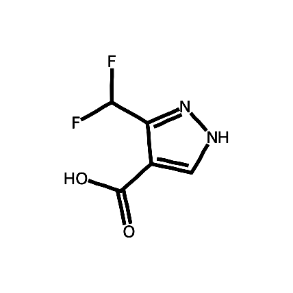 O=C(O)c1c[nH]nc1C(F)F